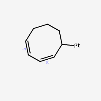 [Pt][CH]1/C=C\C=C/CCC1